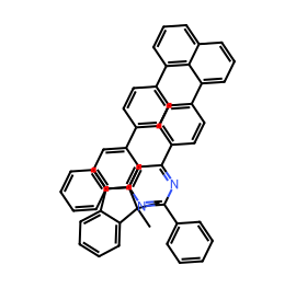 CC1(C)c2ccccc2-c2ccc(-c3ccc(-c4cccc5cccc(-c6ccc(-c7cc(-c8ccccc8)nc(-c8ccccc8)n7)cc6)c45)cc3)cc21